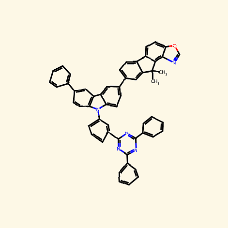 CC1(C)c2cc(-c3ccc4c(c3)c3cc(-c5ccccc5)ccc3n4-c3cccc(-c4nc(-c5ccccc5)nc(-c5ccccc5)n4)c3)ccc2-c2ccc3ocnc3c21